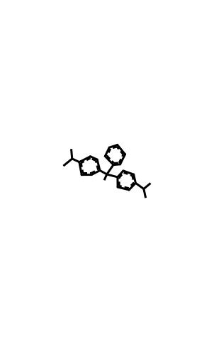 CC(C)c1ccc(C(C)(c2ccccc2)c2ccc(C(C)C)cc2)cc1